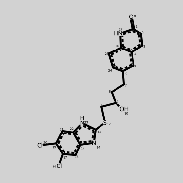 O=c1ccc2cc(CC[C@@H](O)CSc3nc4cc(Cl)c(Cl)cc4[nH]3)ccc2[nH]1